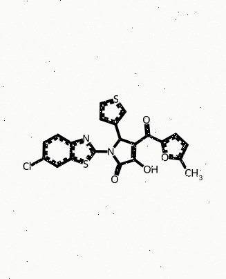 Cc1ccc(C(=O)C2=C(O)C(=O)N(c3nc4ccc(Cl)cc4s3)C2c2ccsc2)o1